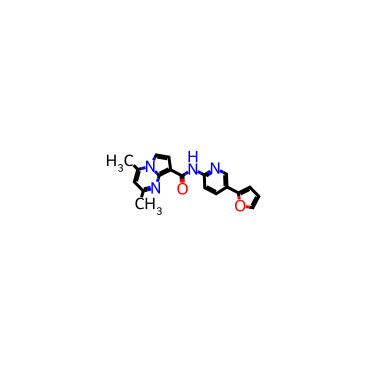 Cc1cc(C)n2ccc(C(=O)Nc3ccc(-c4ccco4)cn3)c2n1